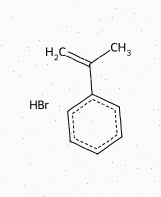 Br.C=C(C)c1ccccc1